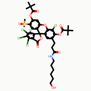 CC(C)(C)C(=O)Oc1cc2c(cc1P(C)(C)=O)C1(OC(=O)c3c(Cl)c(Cl)c(Cl)c(Cl)c31)c1cc(CCC(=O)NCCCCCCO)c(OC(=O)C(C)(C)C)c(Cl)c1O2